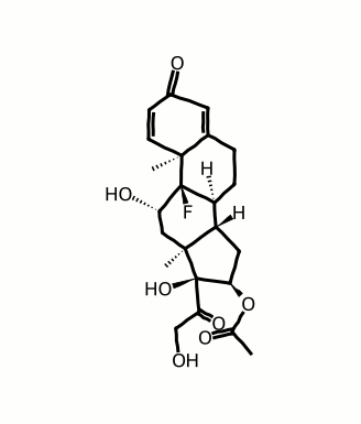 CC(=O)O[C@@H]1C[C@H]2[C@@H]3CCC4=CC(=O)C=C[C@]4(C)[C@@]3(F)[C@@H](O)C[C@]2(C)[C@@]1(O)C(=O)CO